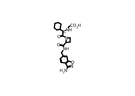 Nc1noc2cc(CNC(=O)C3CCN3C(=O)[C@H](NCC(=O)O)C3CCCCC3)ccc12